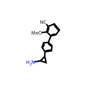 COc1c(C#N)cccc1-c1ccc(C2CC2N)cc1